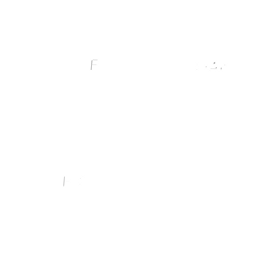 CC(=O)OCc1ccc(C(F)(F)F)cc1F